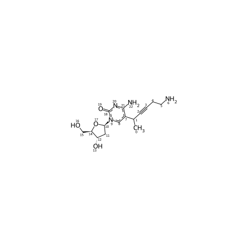 CC(C#CCCN)c1cn([C@H]2C[C@H](O)[C@@H](CO)O2)c(=O)nc1N